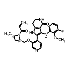 C=CC(=O)N1[C@@H](COc2cnccc2-c2[nH]c3c(c2Nc2cccc(F)c2OC)C(=O)NCC3)C[C@@H]1C